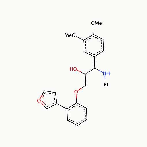 CCNC(c1ccc(OC)c(OC)c1)C(O)COc1ccccc1-c1ccoc1